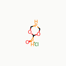 O=[PH](Cl)C1OCPCO1